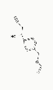 C#CC[C@@H](O)c1ccc(COC=O)cc1